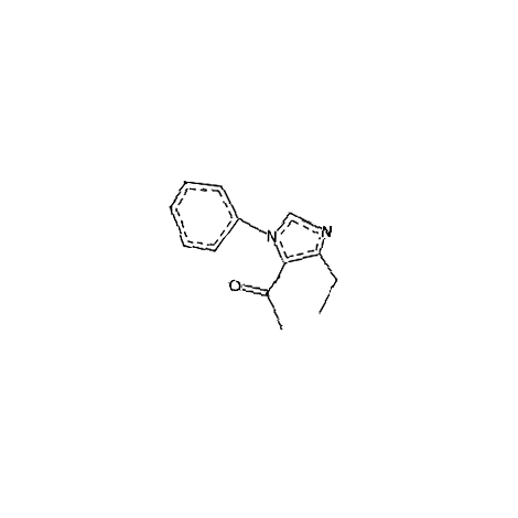 CCc1ncn(-c2ccccc2)c1C(C)=O